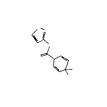 O=C(Nc1ccon1)C1C=CC(F)(Br)C=C1